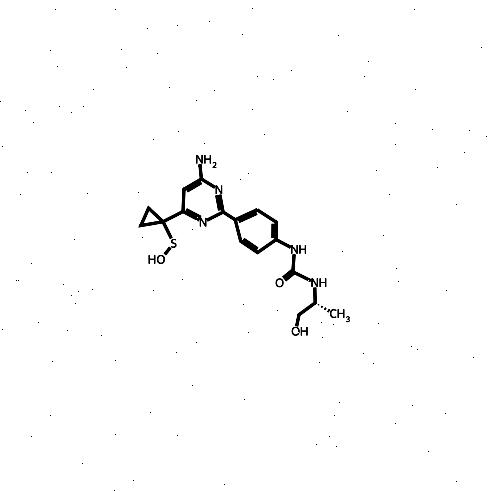 C[C@H](CO)NC(=O)Nc1ccc(-c2nc(N)cc(C3(SO)CC3)n2)cc1